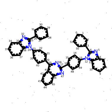 c1ccc(-c2nc3ccccc3n2-c2ccc(-c3nc(-c4ccc(-n5c(-c6ccccc6)nc6ccccc65)cc4)c4ccccc4n3)cc2)cc1